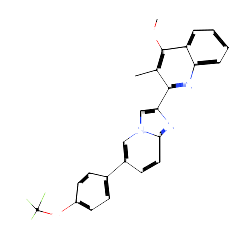 COc1c(C)c(-c2cn3cc(-c4ccc(OC(F)(F)F)cc4)ccc3n2)nc2ccccc12